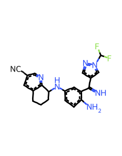 N#Cc1cnc2c(c1)CCCC2Nc1ccc(N)c(C(=N)c2cnn(C(F)F)c2)c1